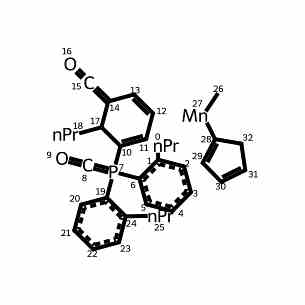 CCCc1ccccc1P(=C=O)(C1=CC=CC(=C=O)C1CCC)c1ccccc1CCC.[CH3][Mn][C]1=CC=CC1